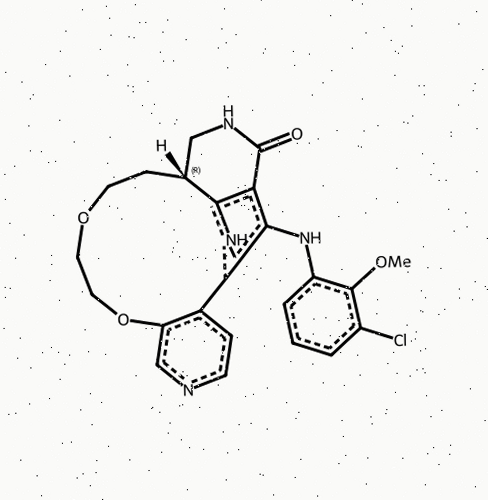 COc1c(Cl)cccc1Nc1c2[nH]c3c1C(=O)NC[C@H]3CCOCCOc1cnccc1-2